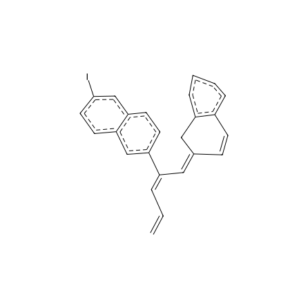 C=C/C=C(\C=C1\C=Cc2ccccc2C1)c1ccc2cc(I)ccc2c1